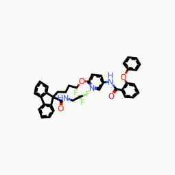 O=C(Nc1ccc(OCCCCC2(C(=O)NCC(F)(F)F)c3ccccc3-c3ccccc32)nc1)c1ccccc1Oc1ccccc1